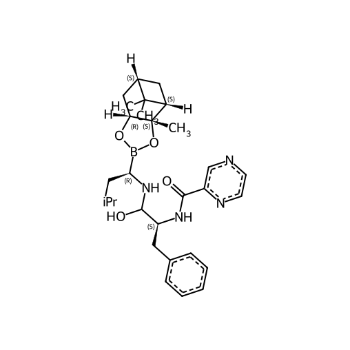 CC(C)C[C@H](NC(O)[C@H](Cc1ccccc1)NC(=O)c1cnccn1)B1O[C@@H]2C[C@@H]3C[C@@H](C3(C)C)[C@]2(C)O1